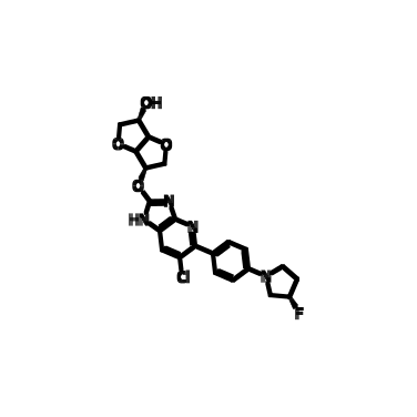 O[C@@H]1COC2C1OC[C@H]2Oc1nc2nc(-c3ccc(N4CC[C@@H](F)C4)cc3)c(Cl)cc2[nH]1